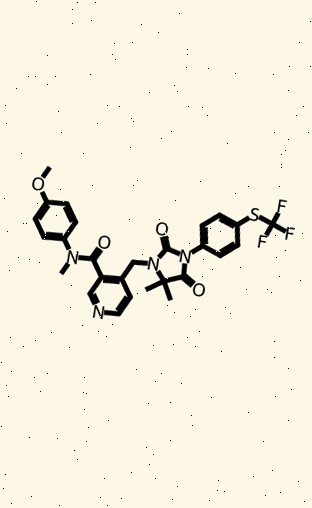 COc1ccc(N(C)C(=O)c2cnccc2CN2C(=O)N(c3ccc(SC(F)(F)F)cc3)C(=O)C2(C)C)cc1